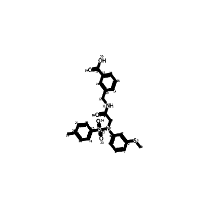 CSc1cccc(N(CC(=O)NCc2cccc(C(=O)O)c2)S(=O)(=O)c2ccc(C)cc2)c1